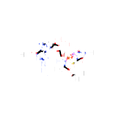 COc1nc(N)nc2c1ncn2[C@H](OCCO[P@@](=O)(N[C@H](C)C(=O)OC(C)C)SC[C@H]1C(=O)N(C)C(=O)N1C)[C@](C)(O)CO